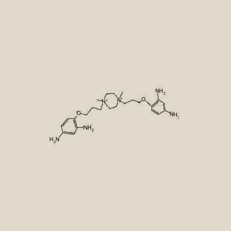 C[N+]1(CCCOc2ccc(N)cc2N)CC[N+](C)(CCCOc2ccc(N)cc2N)CC1